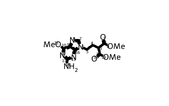 COC(=O)C(CCn1cnc2c(OC)nc(N)nc21)C(=O)OC